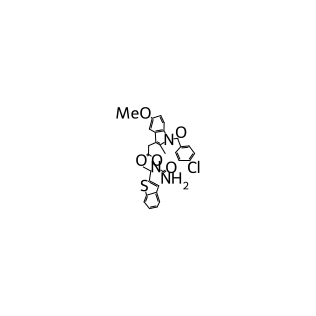 COc1ccc2c(c1)c(CC(=O)ON(C(N)=O)C(C)c1cc3ccccc3s1)c(C)n2C(=O)c1ccc(Cl)cc1